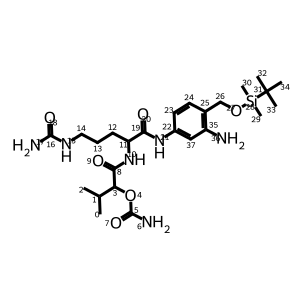 CC(C)C(OC(N)=O)C(=O)NC(CCCNC(N)=O)C(=O)Nc1ccc(CO[Si](C)(C)C(C)(C)C)c(N)c1